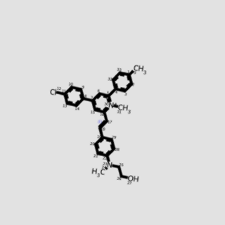 Cc1ccc(-c2cc(-c3ccc(Cl)cc3)cc(/C=C/c3ccc(N(C)CCO)cc3)[n+]2C)cc1